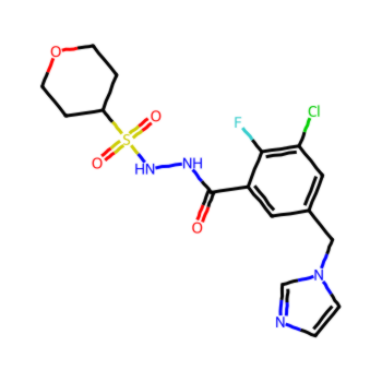 O=C(NNS(=O)(=O)C1CCOCC1)c1cc(Cn2ccnc2)cc(Cl)c1F